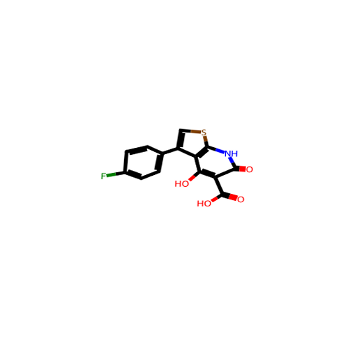 O=C(O)c1c(O)c2c(-c3ccc(F)cc3)csc2[nH]c1=O